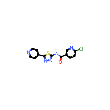 O=C(Nc1nnc(-c2ccncc2)s1)c1ccc(Cl)nc1